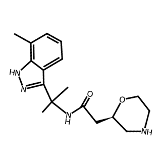 Cc1cccc2c(C(C)(C)NC(=O)C[C@@H]3CNCCO3)n[nH]c12